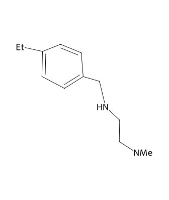 CCc1ccc(CNCCNC)cc1